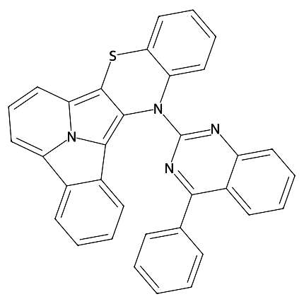 c1ccc(-c2nc(N3c4ccccc4Sc4c3c3c5ccccc5c5cccc4n53)nc3ccccc23)cc1